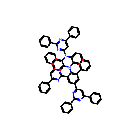 c1ccc(-c2cc(-c3cc(-c4ccccc4)c(N4c5ccccc5N(c5cc(-c6ccccc6)nc(-c6ccccc6)n5)c5ccccc54)c(-c4nc(-c5ccccc5)cc(-c5ccccc5)n4)c3)nc(-c3ccccc3)n2)cc1